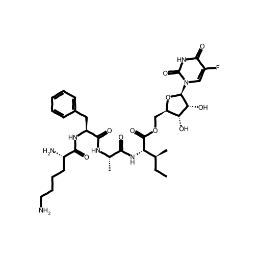 CC[C@H](C)[C@H](NC(=O)[C@H](C)NC(=O)[C@H](Cc1ccccc1)NC(=O)[C@@H](N)CCCCN)C(=O)OC[C@H]1O[C@@H](n2cc(F)c(=O)[nH]c2=O)[C@H](O)[C@@H]1O